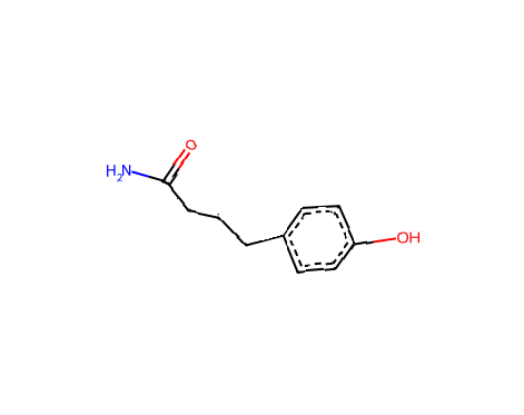 NC(=O)C[CH]Cc1ccc(O)cc1